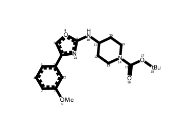 COc1cccc(-c2coc(NC3CCN(C(=O)OC(C)(C)C)CC3)n2)c1